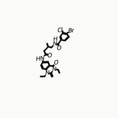 C=C1N(CC)C(=O)c2cc(NC(=O)CC(C)CNC(=O)c3ccc(Br)c(Cl)c3)ccc2N1CC